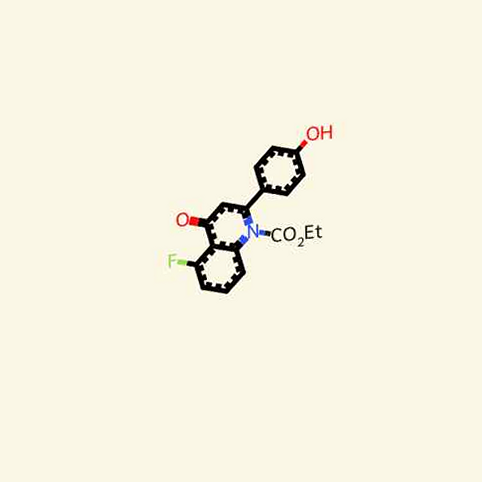 CCOC(=O)n1c(-c2ccc(O)cc2)cc(=O)c2c(F)cccc21